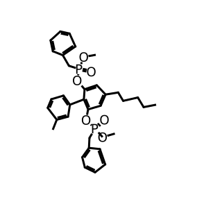 CCCCCc1cc(OP(=O)(Cc2ccccc2)OC)c(-c2cccc(C)c2)c(OP(=O)(Cc2ccccc2)OC)c1